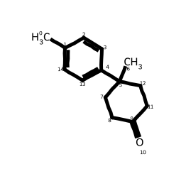 Cc1ccc(C2(C)CCC(=O)CC2)cc1